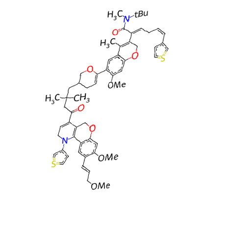 COC/C=C/c1cc2c(cc1OC)OCC1=C2N(c2ccsc2)CC=C1C(=O)CC(C)(C)CC1CC=C(c2cc3c(cc2OC)OCC(/C(=C\C/C=C\c2ccsc2)C(=O)N(C)C(C)(C)C)=C3C)OC1